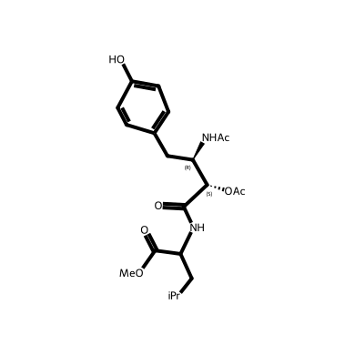 COC(=O)C(CC(C)C)NC(=O)[C@@H](OC(C)=O)[C@@H](Cc1ccc(O)cc1)NC(C)=O